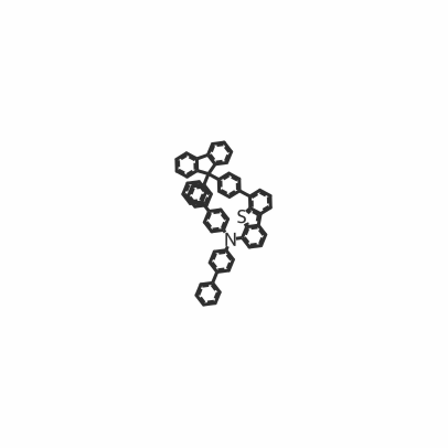 c1ccc(-c2ccc(N(c3ccc(-c4ccccc4)cc3)c3cccc4c3sc3c(-c5ccc(C6(c7ccccc7)c7ccccc7-c7ccccc76)cc5)cccc34)cc2)cc1